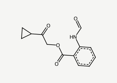 O=CNc1ccccc1C(=O)OCC(=O)C1CC1